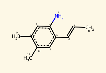 Bc1cc(N)c(/C=C/C)cc1C